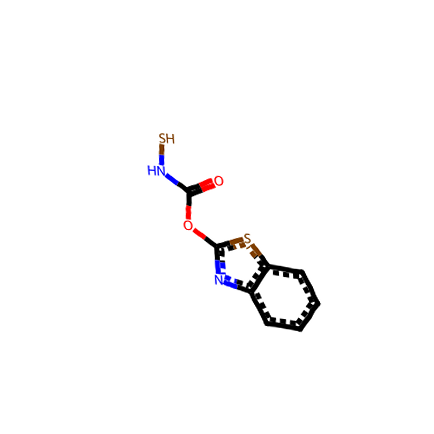 O=C(NS)Oc1nc2ccccc2s1